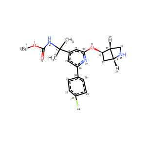 CC(C)(C)OC(=O)NC(C)(C)c1cc(O[C@@H]2C[C@H]3NC[C@H]32)nc(-c2ccc(F)cc2)c1